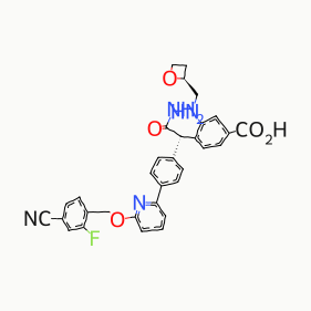 N#Cc1ccc(COc2cccc(-c3ccc([C@H](C(N)=O)c4ccc(C(=O)O)cc4NC[C@@H]4CCO4)cc3)n2)c(F)c1